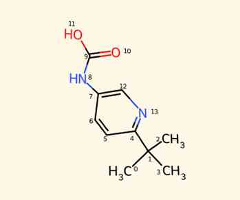 CC(C)(C)c1ccc(NC(=O)O)cn1